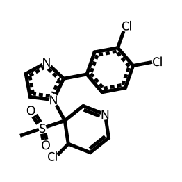 CS(=O)(=O)C1(n2ccnc2-c2ccc(Cl)c(Cl)c2)C=NC=CC1Cl